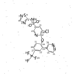 O=S(=O)(Nc1ncns1)c1cnc(Oc2ccc(C(F)(F)F)cc2-c2ccnnc2)c(Cl)c1